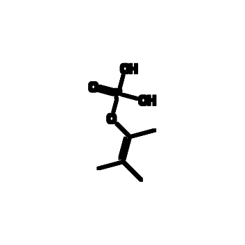 CC(C)=C(C)OP(=O)(O)O